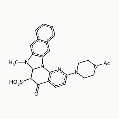 CC(=O)N1CCN(c2ccc3c(n2)N2c4cc5ccccc5cc4N(C)C2C(S(=O)(=O)O)C3=O)CC1